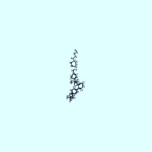 CCCCC[C@H]1CC[C@H](CCc2ccc(C(F)(F)Oc3ccccc3-c3ccc(OC(F)(F)F)cc3)cc2)CC1